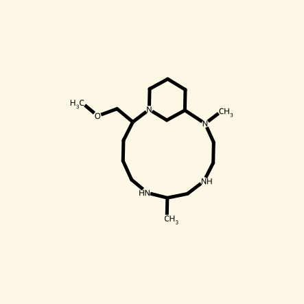 COCC1CCCNC(C)CNCCN(C)C2CCCN1C2